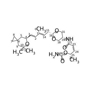 CC(/C=C/[C@@H]1CC2(CC2)CC(C)(C)O1)=C\C[C@H]1OC[C@@H](NC(=O)/C=C\[C@H](C)OC(N)=O)CO1